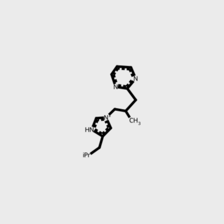 CC(C)Cc1c[n+](CC(C)Cc2ncccn2)c[nH]1